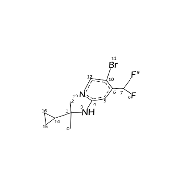 CC(C)(Nc1cc(C(F)F)c(Br)cn1)C1CC1